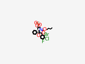 CCCCOC(=O)N1C[C@@H](OS(C)(=O)=O)C[C@H]1[C@@]1(c2ccccc2)Cc2c(cc(F)c(Cl)c2Br)O1